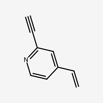 C#Cc1cc(C=C)ccn1